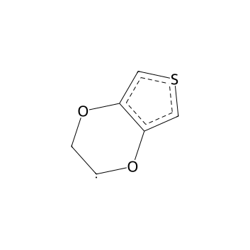 [CH]1COc2cscc2O1